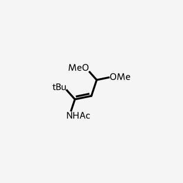 COC(C=C(NC(C)=O)C(C)(C)C)OC